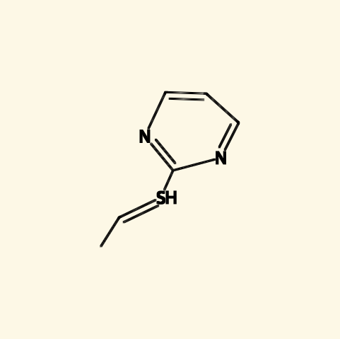 CC=[SH]c1ncccn1